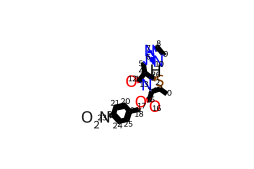 CC1S[C@H]2C(Cn3nccn3)C(=O)N2C1C(=O)OCc1ccc([N+](=O)[O-])cc1